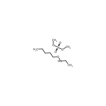 CCCCCONCC.COS(=O)(=O)OC